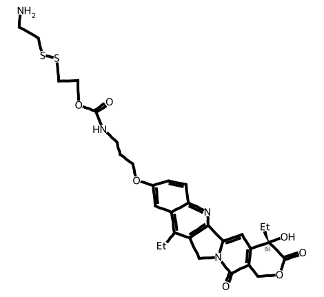 CCc1c2c(nc3ccc(OCCCNC(=O)OCCSSCCN)cc13)-c1cc3c(c(=O)n1C2)COC(=O)[C@]3(O)CC